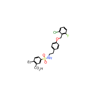 CCc1ccc(S(=O)(=O)NCCc2ccc(OCc3c(F)cccc3Cl)cc2)cc1C(=O)O